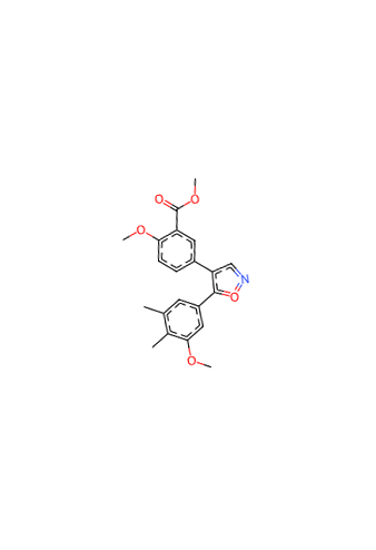 COC(=O)c1cc(-c2cnoc2-c2cc(C)c(C)c(OC)c2)ccc1OC